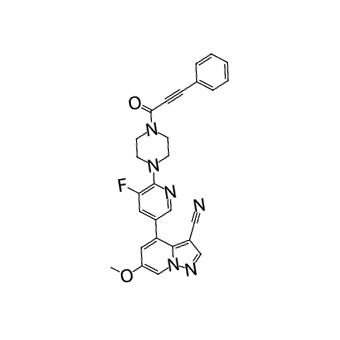 COc1cc(-c2cnc(N3CCN(C(=O)C#Cc4ccccc4)CC3)c(F)c2)c2c(C#N)cnn2c1